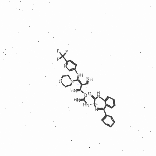 N=C/C(C(=N)OC(=N)N[C@H]1N=C(c2ccccc2)c2ccccc2NC1=O)=C(\Nc1ccc(C(F)(F)F)nc1)N1CCOCC1